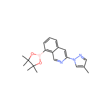 Cc1cnn(-c2cc3cccc(B4OC(C)(C)C(C)(C)O4)c3cn2)c1